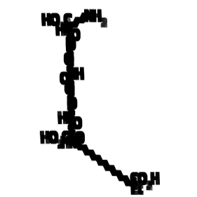 CCC(CCCCCCCCCCCCCCCC(=O)N[C@@H](CCC(=O)NCCOCCOCC(=O)NCCOCCOCC(=O)N[C@@H](CCCCN)C(=O)O)C(=O)O)C(=O)O